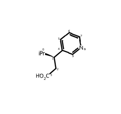 CC(C)[C@H](CC(=O)O)c1cccnc1